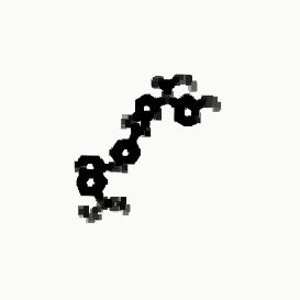 CC(=O)N(c1ccnc(C)c1)c1ccc2[nH]c(-c3ccc(Nc4ccnc5ccc(N(C)C)cc45)cc3)nc2n1